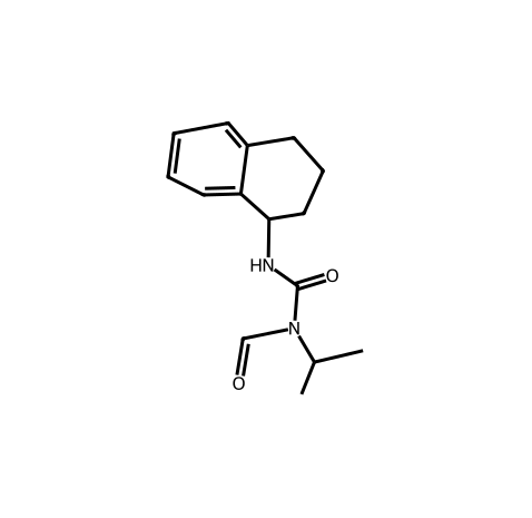 CC(C)N(C=O)C(=O)NC1CCCc2ccccc21